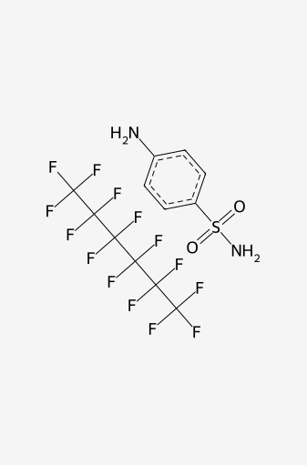 FC(F)(F)C(F)(F)C(F)(F)C(F)(F)C(F)(F)C(F)(F)F.Nc1ccc(S(N)(=O)=O)cc1